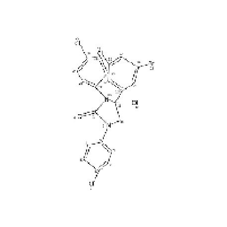 O=C1N(c2ccc(Cl)cc2)CC(O)(c2cc(Cl)cc(Br)c2)N1c1ccc(Cl)cc1